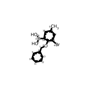 Cc1cc(Br)c(OCc2ccccc2)c(B(O)O)c1